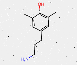 Cc1cc(CCCN)cc(C)c1O